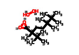 CC(C)(C)C(C)(C)CCC(C)(C1OO1)C(C)(C)C.OO